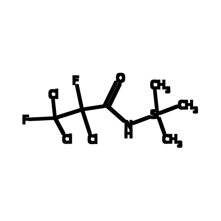 C[Si](C)(C)NC(=O)C(F)(Cl)C(F)(Cl)Cl